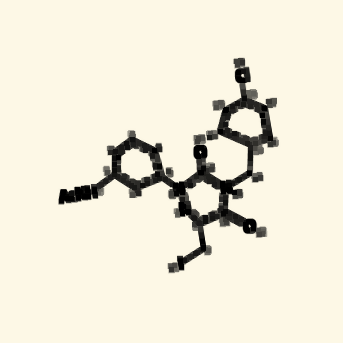 CC(=O)Nc1cccc(-n2nc(CI)c(=O)n(Cc3ccc(Cl)cc3)c2=O)c1